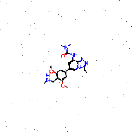 CNCc1c(OC)cc(-c2cc(NC(=O)N(C)C)c3nnc(C)n3c2)cc1OC